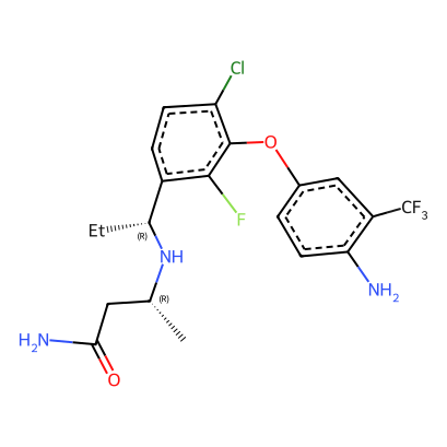 CC[C@@H](N[C@H](C)CC(N)=O)c1ccc(Cl)c(Oc2ccc(N)c(C(F)(F)F)c2)c1F